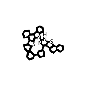 c1ccc(-c2cccc(C3=C4c5ccc6ccccc6c5SC4NC(n4c5ccccc5c5c6ccccc6c6c7ccccc7sc6c54)=N3)c2)cc1